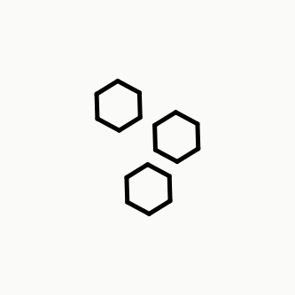 C1CCCCC1.C1CCCCC1.C1CCCCC1